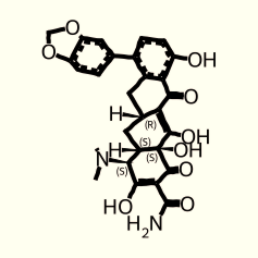 CN(C)[C@@H]1C(O)=C(C(N)=O)C(=O)[C@@]2(O)C(O)=C3C(=O)c4c(O)ccc(-c5ccc6c(c5)OCO6)c4C[C@H]3C[C@@H]12